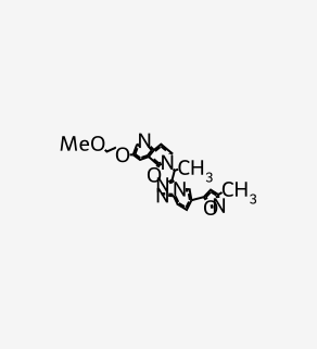 COCCOc1cnc2ccn(C(C)c3nnc4ccc(-c5cc(C)no5)cn34)c(=O)c2c1